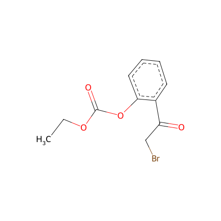 CCOC(=O)Oc1ccccc1C(=O)CBr